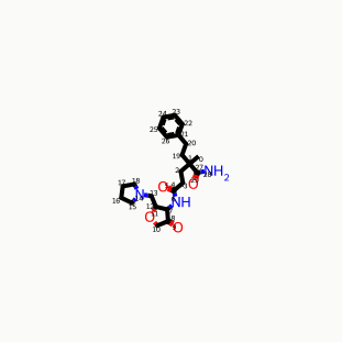 CC(C[CH]C(=O)NC1C(=O)COC1CN1CCCC1)(CCc1ccccc1)C(N)=O